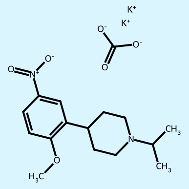 COc1ccc([N+](=O)[O-])cc1C1CCN(C(C)C)CC1.O=C([O-])[O-].[K+].[K+]